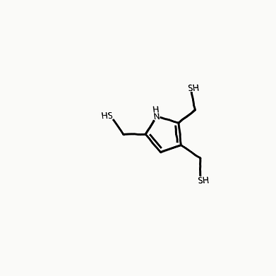 SCc1cc(CS)c(CS)[nH]1